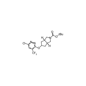 CC(C)(C)OC(=O)N1C[C@H]2CC(Oc3nnc(Cl)cc3C(F)(F)F)C[C@H]2C1